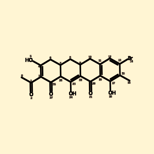 CC(=O)C1=C(O)CC2CC3Cc4cc(Br)c(C)c(O)c4C(=O)C3=C(O)C2C1=O